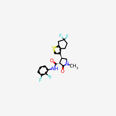 CN1C[C@H](c2csc3c2CCC(F)(F)C3)[C@@H](C(=O)Nc2cccc(F)c2F)C1=O